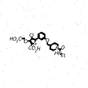 CCNC(=O)N1CCC(COc2cccc(-c3sc(C(=O)O)c(OCC(=O)O)c3Cl)c2)CC1